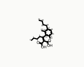 CCCCC(=C(C(=O)O)C(=O)O)c1c(C)ccc(CCCC)c1C